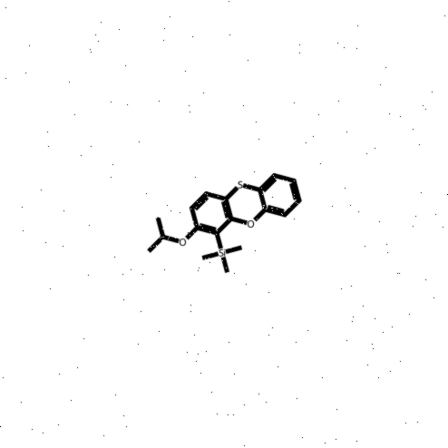 CC(C)Oc1ccc2c(c1[Si](C)(C)C)Oc1ccccc1S2